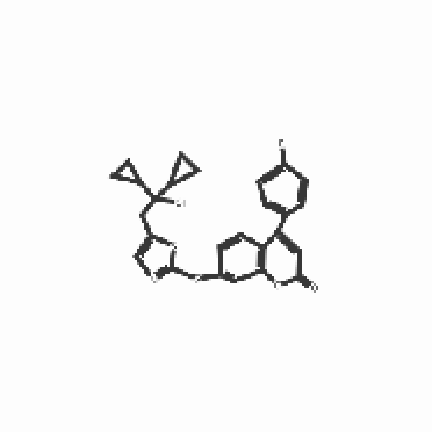 O=c1cc(-c2ccc(F)cc2)c2ccc(Sc3ncc(CC(O)(C4CC4)C4CC4)s3)cc2o1